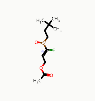 CC(=O)OC/C=C(\F)[S+]([O-])CCC(C)(C)C